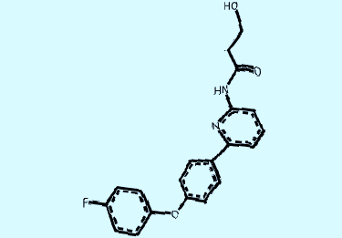 O=C([CH]CO)Nc1cccc(-c2ccc(Oc3ccc(F)cc3)cc2)n1